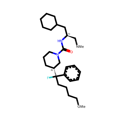 CNC[C@H](CC1CCCCC1)NC(=O)N1CCC[C@@H](C(F)(CCCCOC)c2ccccc2)C1